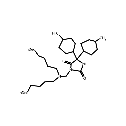 CCCCCCCCCCCCCCN(CCCCCCCCCCCCCC)CN1C(=O)NC(C2CCC(C)CC2)(C2CCC(C)CC2)C1=O